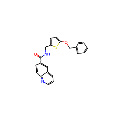 O=C(NCc1ccc(OCc2ccccc2)s1)c1ccc2ncccc2c1